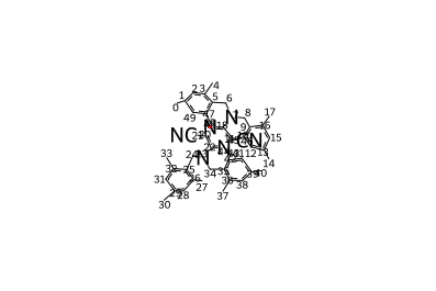 Cc1cc(C)c(CN(Cc2c(C)cc(C)cc2C)c2nc(C#N)c(N(Cc3c(C)cc(C)cc3C)Cc3c(C)cc(C)cc3C)nc2C#N)c(C)c1